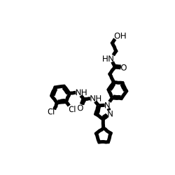 O=C(Cc1cccc(-n2nc(C3CCCC3)cc2NC(=O)Nc2cccc(Cl)c2Cl)c1)NCCO